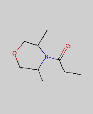 CCC(=O)N1C(C)COCC1C